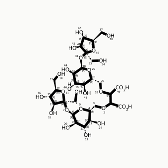 O=C(O)C(OC[C@H]1O[C@H](O[C@]2(CO)O[C@H](CO)[C@@H](O)[C@@H]2O)[C@H](O)[C@@H](O)[C@@H]1O)C(OC[C@H]1O[C@H](O[C@]2(CO)O[C@H](CO)[C@@H](O)[C@@H]2O)[C@H](O)[C@@H](O)[C@@H]1O)C(=O)O